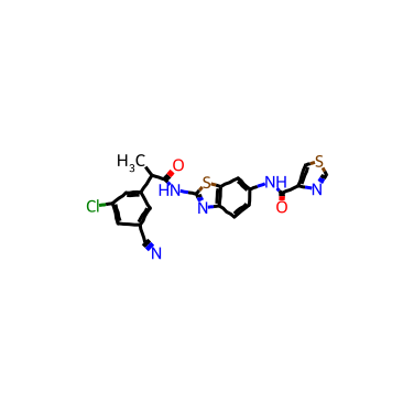 CC(C(=O)Nc1nc2ccc(NC(=O)c3cscn3)cc2s1)c1cc(Cl)cc(C#N)c1